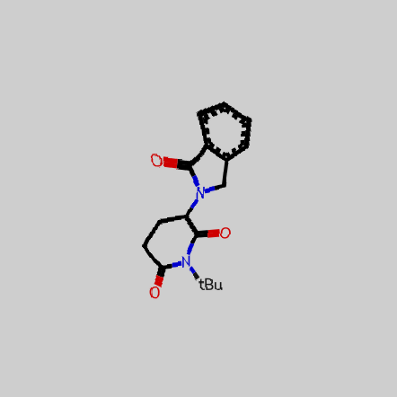 CC(C)(C)N1C(=O)CCC(N2Cc3ccccc3C2=O)C1=O